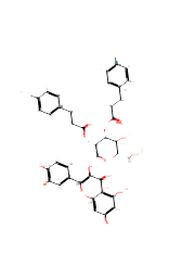 O=C(CCc1ccc(F)cc1)O[C@@H]1[C@H](Oc2c(-c3ccc(O)c(O)c3)oc3cc(O)cc(O)c3c2=O)O[C@H](CO)C(O)[C@@H]1OC(=O)CCc1ccc(F)cc1